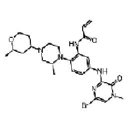 C=CC(=O)Nc1cc(Nc2nc(Br)cn(C)c2=O)ccc1N1CCN([C@@H]2CCO[C@H](C)C2)C[C@@H]1C